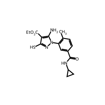 CCOC(=O)c1c(S)nn(-c2cc(C(=O)NC3CC3)ccc2C)c1N